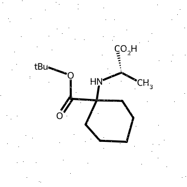 C[C@H](NC1(C(=O)OC(C)(C)C)CCCCC1)C(=O)O